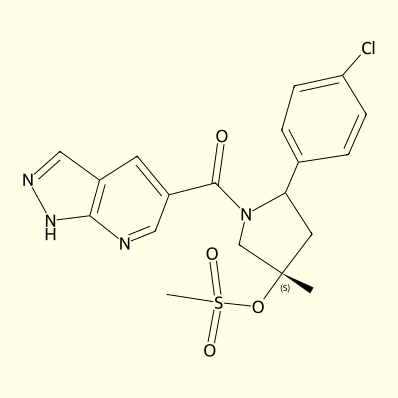 C[C@]1(OS(C)(=O)=O)CC(c2ccc(Cl)cc2)N(C(=O)c2cnc3[nH]ncc3c2)C1